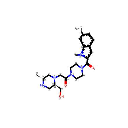 COc1ccc2cc(C(=O)N3CCN(C(=O)CN4C[C@@H](C)NC[C@@H]4CO)CC3)n(C)c2c1